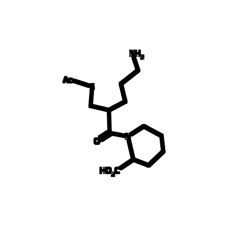 CC(=O)SCC(CCCN)C(=O)N1CCCCC1C(=O)O